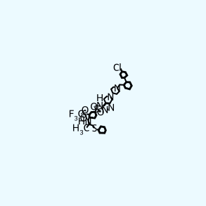 CC(CSc1ccccc1)Nc1ccc(S(=O)(=O)Nc2ncnc3c2CCN(C2CCN(Cc4ccccc4-c4ccc(Cl)cc4)CC2)C3)cc1S(=O)(=O)C(F)(F)F